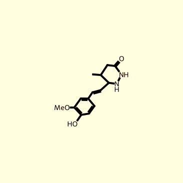 COc1cc(/C=C/C2NNC(=O)CC2C)ccc1O